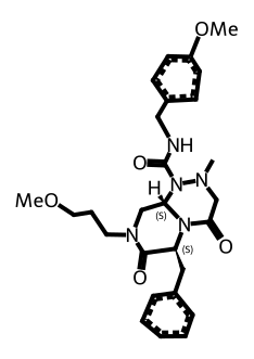 COCCCN1C[C@H]2N(C(=O)CN(C)N2C(=O)NCc2ccc(OC)cc2)[C@@H](Cc2ccccc2)C1=O